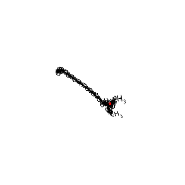 Cc1ccc(S(=O)(=O)CC(CS(=O)(=O)c2ccc(C)cc2)C(=O)c2ccc(C(=O)NCCOCCOCCOCCOCCOCCOCCOCCOCCOCCOCCOCCOCCC(=O)ON3C(=O)CCC3=O)cc2)cc1